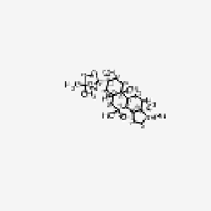 CC[C@@H](C)[C@H]1CCC2C3C(CC[C@@]21C)[C@@]1(C)CC[C@](O)(C2=NC(C)(C)CO2)C[C@H]1CC3(C)O